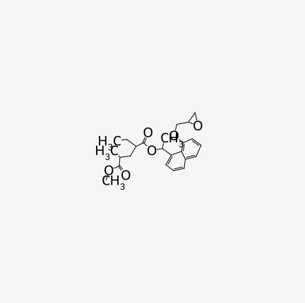 CCC(CC(C)C(=O)OC)C(=O)OC(C)c1cccc2cccc(OCC3CO3)c12